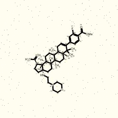 C=C(C)[C@@H]1CC[C@]2(NCCN3CCOCC3)CC[C@]3(C)[C@H](CCC4[C@@]5(C)CC=C(c6ccc(C(=O)OC)c(F)c6)C(C)(C)[C@@H]5CC[C@]43C)[C@@H]12